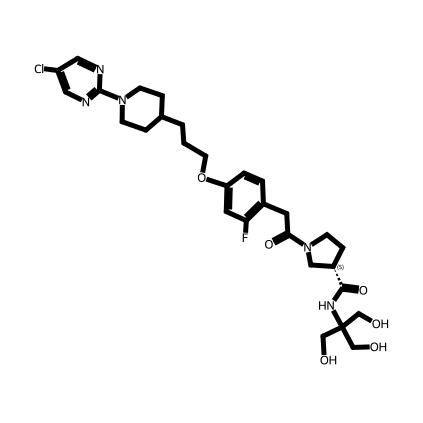 O=C(NC(CO)(CO)CO)[C@H]1CCN(C(=O)Cc2ccc(OCCCC3CCN(c4ncc(Cl)cn4)CC3)cc2F)C1